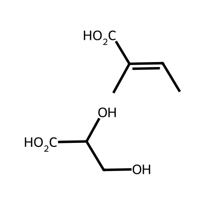 CC=C(C)C(=O)O.O=C(O)C(O)CO